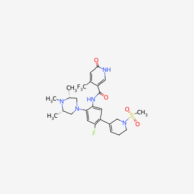 C[C@@H]1CN(c2cc(F)c(C3=CCCN(S(C)(=O)=O)C3)cc2NC(=O)c2c[nH]c(=O)cc2C(F)(F)F)C[C@H](C)N1C